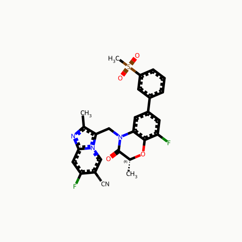 Cc1nc2cc(F)c(C#N)cn2c1CN1C(=O)[C@@H](C)Oc2c(F)cc(-c3cccc(S(C)(=O)=O)c3)cc21